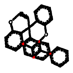 c1ccc(-c2cccc3c2Oc2ccccc2C32c3ccccc3Oc3cccc(-c4ccccc4)c32)cc1